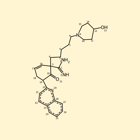 N=C(N)C1(CCCCCN2CCC(O)CC2)C=CCC(c2ccc3ccccc3n2)C1=O